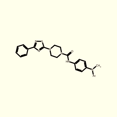 CC(=O)N(C)c1ccc(NC(=O)N2CCN(c3nc(-c4ccccc4)ns3)CC2)cc1